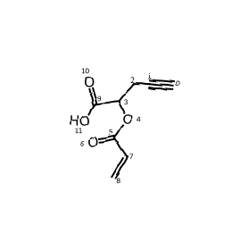 C#CCC(OC(=O)C=C)C(=O)O